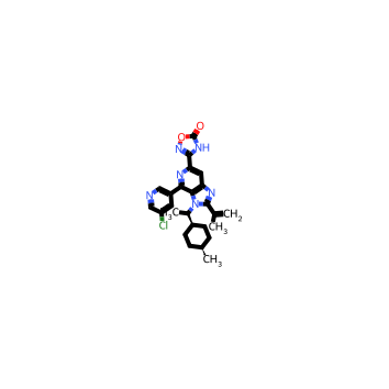 C=C(C)c1nc2cc(-c3noc(=O)[nH]3)nc(-c3cncc(Cl)c3)c2n1C(C)[C@H]1CC[C@H](C)CC1